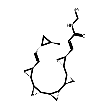 CC(C)CNC(=O)/C=C/[C@@H]1C[C@H]1[C@@H]1C[C@H]1[C@@H]1C[C@H]1[C@@H]1C[C@H]1[C@@H]1C[C@H]1/C=C/[C@@H]1C[C@H]1C